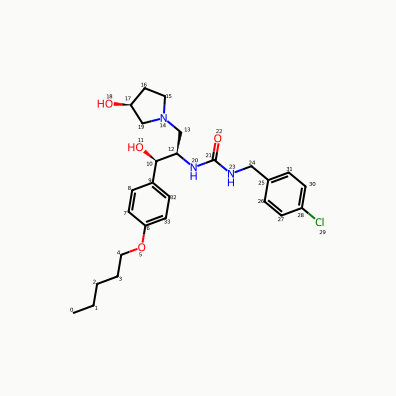 CCCCCOc1ccc([C@@H](O)[C@@H](CN2CC[C@H](O)C2)NC(=O)NCc2ccc(Cl)cc2)cc1